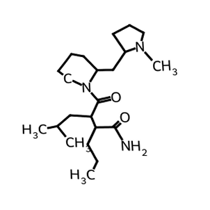 CCCC(C(N)=O)C(CC(C)C)C(=O)N1CCCCC1CC1CCCN1C